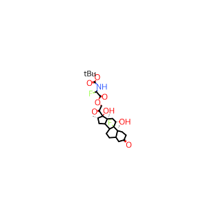 C[C@H]1CC2C3CCC4CC(=O)CC[C@]4(C)[C@@]3(F)[C@@H](O)C[C@]2(C)[C@@]1(O)C(=O)COC(=O)C(F)NC(=O)OC(C)(C)C